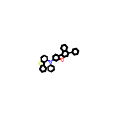 C1=CCCC(N(c2ccc3c(c2)oc2cc(-c4ccccc4)c4ccccc4c23)C2CC=Cc3sc4ccccc4c32)=C1